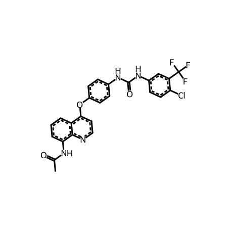 CC(=O)Nc1cccc2c(Oc3ccc(NC(=O)Nc4ccc(Cl)c(C(F)(F)F)c4)cc3)ccnc12